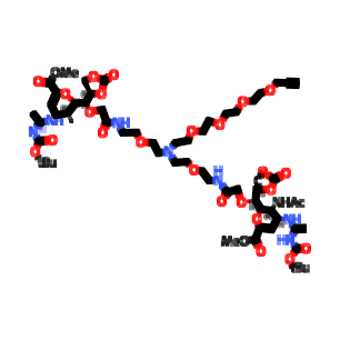 C#CCOCCOCCOCCOCCN(CCOCCNC(=O)CO[C@@H]([C@@H]1OC(C(=O)OC)=C[C@H](N/C(C)=N\C(=O)OC(C)(C)C)[C@H]1C)[C@H]1COC(=O)O1)CCOCCNC(=O)CO[C@@H]([C@@H]1OC(C(=O)OC)=C[C@H](NC(=C)NC(=O)OC(C)(C)C)[C@H]1NC(C)=O)[C@H]1COC(=O)O1